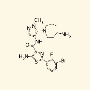 Cn1ncc(NC(=O)c2nc(-c3cccc(Br)c3F)sc2N)c1N1CCC[C@@H](N)CC1